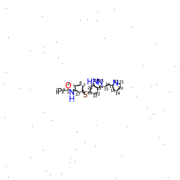 CC(C)C(=O)Nc1cccc(Sc2ccc3c(/C=C/c4ccccn4)n[nH]c3c2)c1